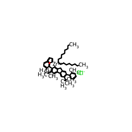 CCCCCCCC[C](CCCCCCCC)=[Zr+2]([C]1=CC=CC1)[c]1c2c(cc(C(C)(C)C)c1-c1ccccc1C)-c1cc(C(C)(C)C)c(-c3ccccc3C)cc1C2.[Cl-].[Cl-]